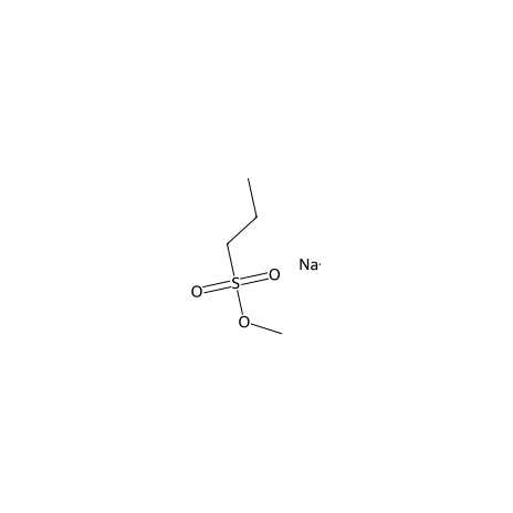 CCCS(=O)(=O)OC.[Na]